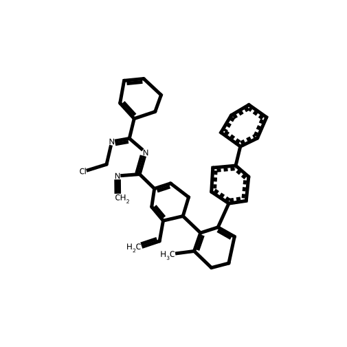 C=CC1=CC(/C(N=C)=N/C(=N\CCl)C2=CC=CCC2)=CCC1C1=C(C)CCC=C1c1ccc(-c2ccccc2)cc1